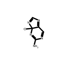 NC1=NC2(Cl)N=CN=C2C=N1